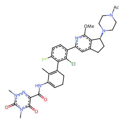 COc1nc(-c2ccc(F)c(C3=C(C)C(NC(=O)c4nn(C)c(=O)n(C)c4=O)=CCC3)c2Cl)cc2c1[C@@H](N1CCN(C(C)=O)CC1)CC2